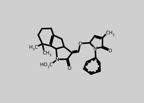 CC1=CC(O/C=C2/C(=O)N(C(=O)O)C3C4=C(CCCC4(C)C)CC23)N(c2ccccc2)C1=O